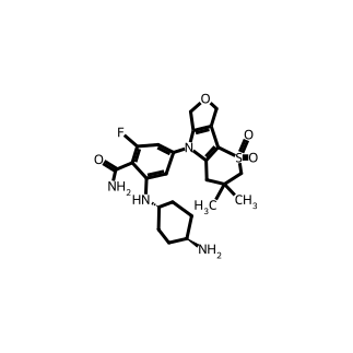 CC1(C)Cc2c(c3c(n2-c2cc(F)c(C(N)=O)c(N[C@H]4CC[C@H](N)CC4)c2)COC3)S(=O)(=O)C1